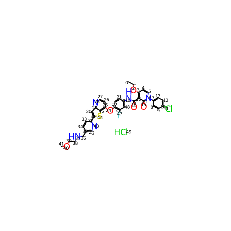 CCOc1ccn(-c2ccc(Cl)cc2)c(=O)c1C(=O)Nc1ccc(Oc2ccnc3cc(-c4ccc(CNCCOC)cn4)sc23)c(F)c1.Cl